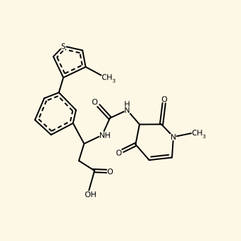 Cc1cscc1-c1cccc(C(CC(=O)O)NC(=O)NC2C(=O)C=CN(C)C2=O)c1